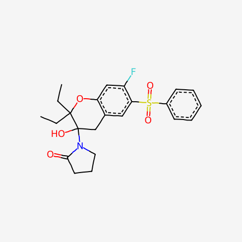 CCC1(CC)Oc2cc(F)c(S(=O)(=O)c3ccccc3)cc2CC1(O)N1CCCC1=O